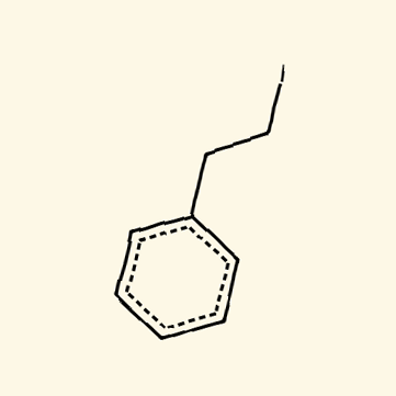 ICCc1ccccc1